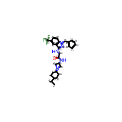 CC(C)C1CCC(N2CC(NC(=O)CNc3nn(Cc4ccccc4)c4ccc(C(F)(F)F)cc34)C2)CC1